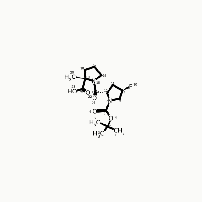 CC(C)(C)OC(=O)N1C[C@H](F)C[C@H]1C(=O)N1CCC[C@@]1(C)C(=O)O